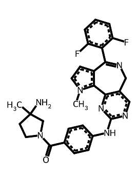 Cn1ccc2c1-c1nc(Nc3ccc(C(=O)N4CCC(C)(N)C4)cc3)ncc1CN=C2c1c(F)cccc1F